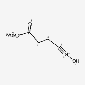 COC(=O)CCC#[N+]O